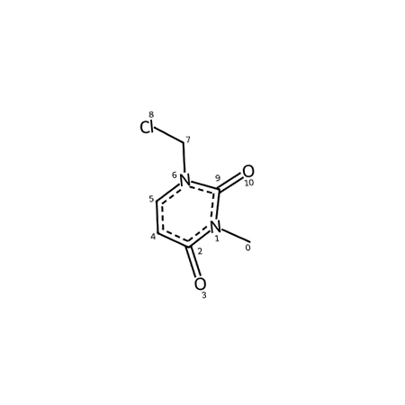 Cn1c(=O)ccn(CCl)c1=O